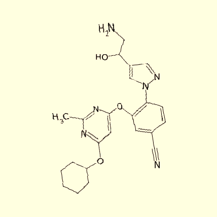 Cc1nc(Oc2cc(C#N)ccc2-n2cc(C(O)CN)cn2)cc(OC2CCCCC2)n1